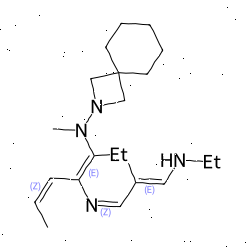 C\C=C/C(/N=C\C(C)=C\NCC)=C(/CC)N(C)N1CC2(CCCCC2)C1